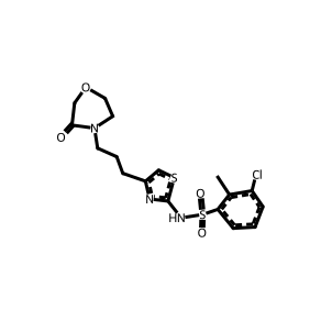 Cc1c(Cl)cccc1S(=O)(=O)Nc1nc(CCCN2CCOCC2=O)cs1